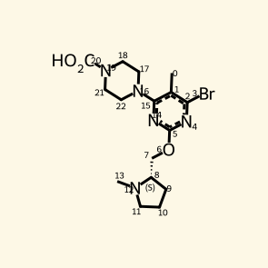 Cc1c(Br)nc(OC[C@@H]2CCCN2C)nc1N1CCN(C(=O)O)CC1